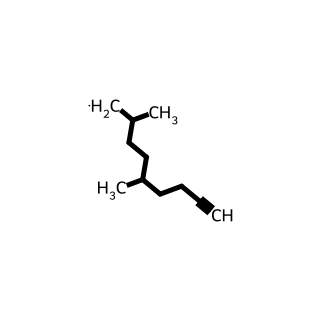 C#CCCC(C)CCC([CH2])C